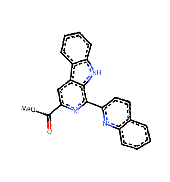 COC(=O)c1cc2c([nH]c3ccccc32)c(-c2ccc3ccccc3n2)n1